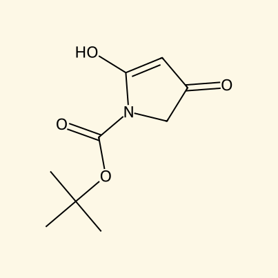 CC(C)(C)OC(=O)N1CC(=O)C=C1O